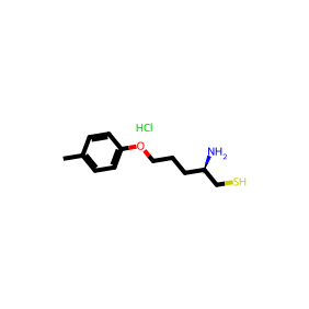 Cc1ccc(OCCC[C@@H](N)CS)cc1.Cl